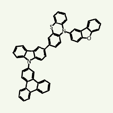 c1ccc2c(c1)Sc1cc(-c3ccc4c(c3)c3ccccc3n4-c3ccc4c5ccccc5c5ccccc5c4c3)ccc1N2c1ccc2oc3ccccc3c2c1